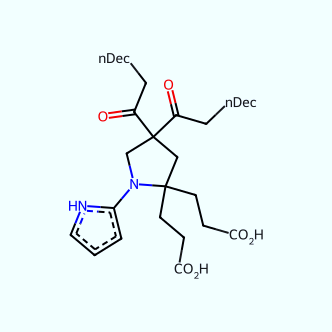 CCCCCCCCCCCC(=O)C1(C(=O)CCCCCCCCCCC)CN(c2ccc[nH]2)C(CCC(=O)O)(CCC(=O)O)C1